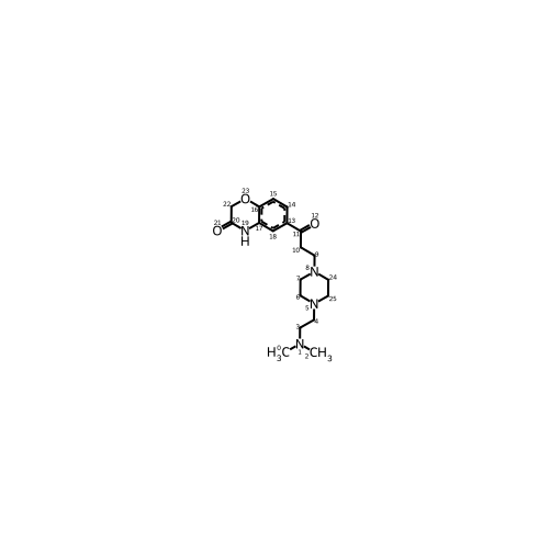 CN(C)CCN1CCN(CCC(=O)c2ccc3c(c2)NC(=O)CO3)CC1